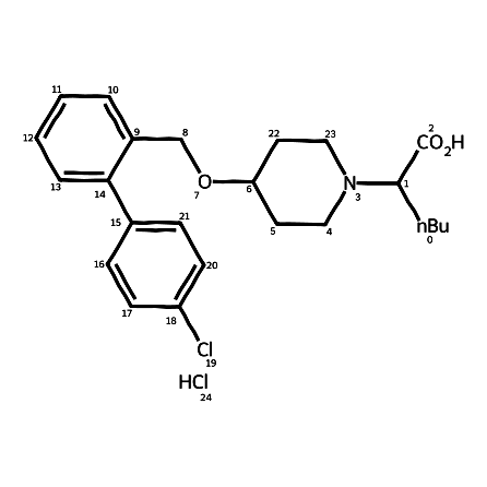 CCCCC(C(=O)O)N1CCC(OCc2ccccc2-c2ccc(Cl)cc2)CC1.Cl